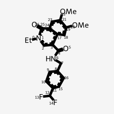 CCn1cc(C(=O)NCc2ccc(C(F)F)cc2)c2cc(OC)c(OC)cc2c1=O